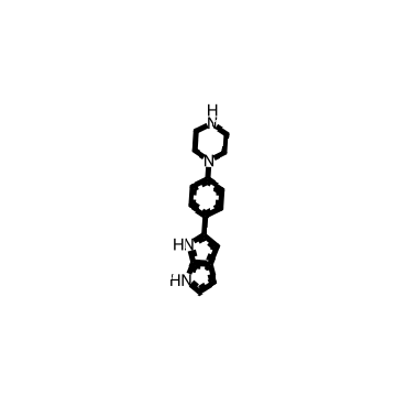 c1cc2cc(-c3ccc(N4CCNCC4)cc3)[nH]c2[nH]1